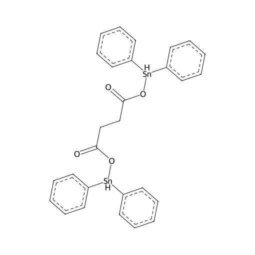 O=C(CCC(=O)[O][SnH]([c]1ccccc1)[c]1ccccc1)[O][SnH]([c]1ccccc1)[c]1ccccc1